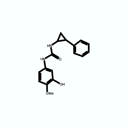 COc1ccc(NC(=O)NC2CC2c2ccccc2)cc1O